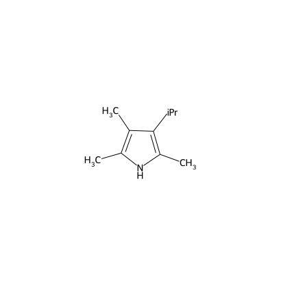 Cc1[nH]c(C)c(C(C)C)c1C